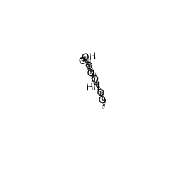 C#CCOCCOCCNCCOCCOCCOCCC(=O)O